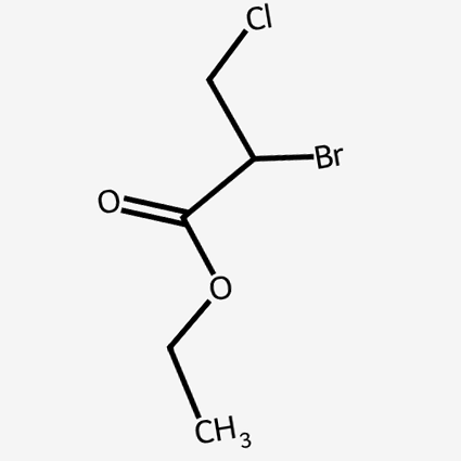 CCOC(=O)C(Br)CCl